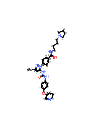 CC(C)(C)c1cc(NC(=O)Nc2ccc(Oc3cccnc3)cc2)n(-c2ccc(C(=O)NCCCCN3CCCC3)cc2)n1